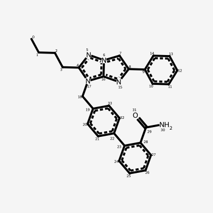 CCCCc1nn2cc(-c3ccccc3)nc2n1Cc1ccc(-c2ccccc2C(N)=O)cc1